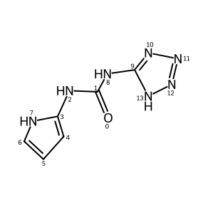 O=C(Nc1ccc[nH]1)Nc1nnn[nH]1